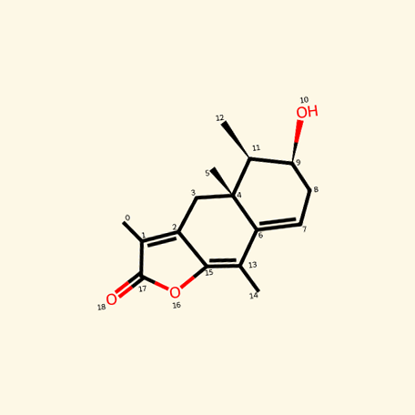 CC1=C2C[C@@]3(C)C(=CC[C@H](O)[C@@H]3C)C(C)=C2OC1=O